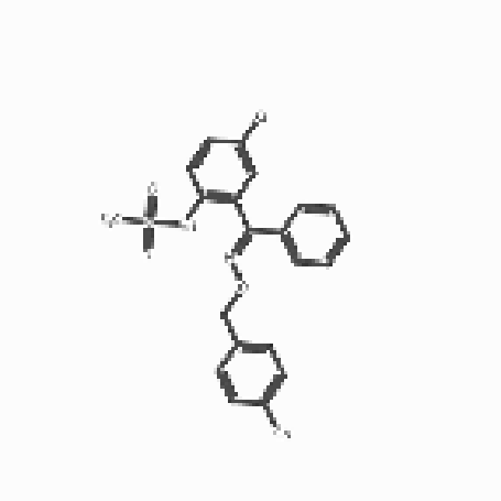 N#Cc1ccc(CO/N=C(\c2ccccc2)c2cc(Cl)ccc2NS(=O)(=O)C(F)(F)F)cc1